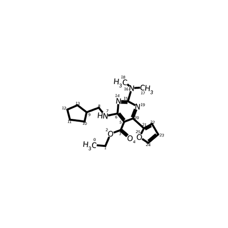 CCOC(=O)c1c(NCC2CCCC2)nc(N(C)C)nc1-c1ccco1